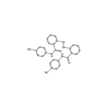 N#Cc1ccc(NC(=O)c2ccccc2[Se][Se]c2ccccc2C(=O)Nc2ccc(C#N)cc2)cc1